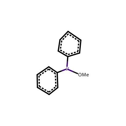 CO[I+](c1ccccc1)c1ccccc1